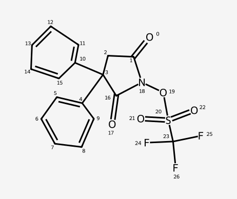 O=C1CC(c2ccccc2)(c2ccccc2)C(=O)N1OS(=O)(=O)C(F)(F)F